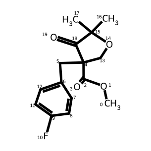 COC(=O)C1(Cc2ccc(F)cc2)COC(C)(C)C1=O